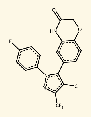 O=C1COc2ccc(-c3c(Cl)c(C(F)(F)F)nn3-c3ccc(F)cc3)cc2N1